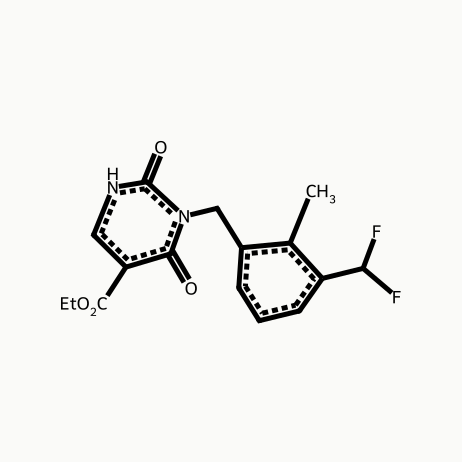 CCOC(=O)c1c[nH]c(=O)n(Cc2cccc(C(F)F)c2C)c1=O